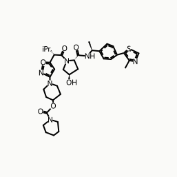 Cc1ncsc1-c1ccc([C@H](C)NC(=O)[C@@H]2C[C@@H](O)CN2C(=O)[C@H](c2cc(N3CCC(OC(=O)N4CCCCC4)CC3)no2)C(C)C)cc1